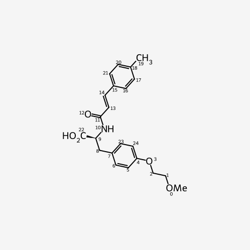 COCCOc1ccc(C[C@H](NC(=O)C=Cc2ccc(C)cc2)C(=O)O)cc1